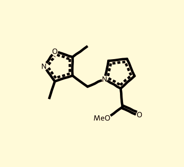 COC(=O)c1cccn1Cc1c(C)noc1C